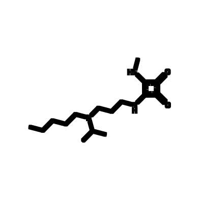 CCCCCN(CCCNc1c(NC)c(=O)c1=O)C(C)C